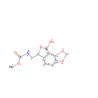 CC(C)(C)OC(=O)NCC1OB(O)c2c1ccc1c2OCO1